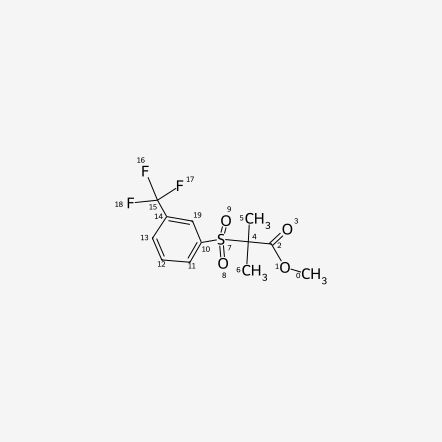 COC(=O)C(C)(C)S(=O)(=O)c1cccc(C(F)(F)F)c1